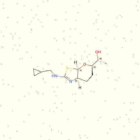 C[C@@H](O)[C@H]1CC[C@H]2N=C(NCC3CC3)S[C@H]2O1